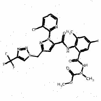 COC(=O)N(C)NC(=O)c1cc(I)cc(C)c1NC(=O)c1cc(Cn2cc(C(F)(F)F)nn2)nn1-c1ncccc1Cl